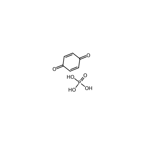 O=C1C=CC(=O)C=C1.O=P(O)(O)O